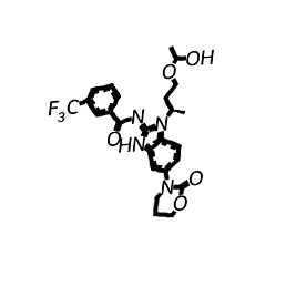 CC(O)OCC[C@@H](C)n1/c(=N/C(=O)c2cccc(C(F)(F)F)c2)[nH]c2cc(N3CCCOC3=O)ccc21